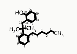 CCCCCCc1ccccc1C(C)(C)Cc1ccccc1O